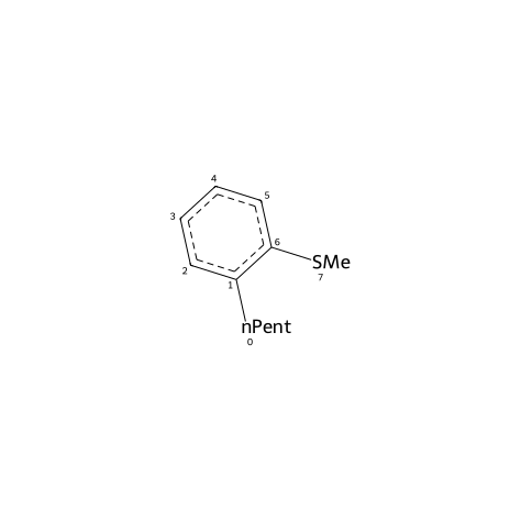 [CH2]CCCCc1ccccc1SC